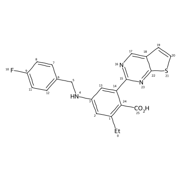 CCc1cc(NCc2ccc(F)cc2)cc(-c2ncc3ccsc3n2)c1C(=O)O